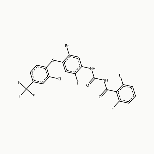 O=C(NC(=O)c1c(F)cccc1F)Nc1cc(Br)c(Sc2ccc(C(F)(F)F)cc2Cl)cc1F